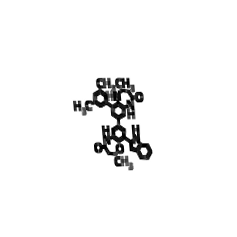 Cc1cc(C)cc(-c2cc(-c3cc4c(c(-c5cc6ccccc6[nH]5)c3)O[C@H](C)CC(=O)N4)cc3c2N[C@H](C)CC(=O)N3)c1